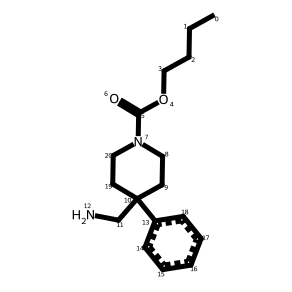 CCCCOC(=O)N1CCC(CN)(c2ccccc2)CC1